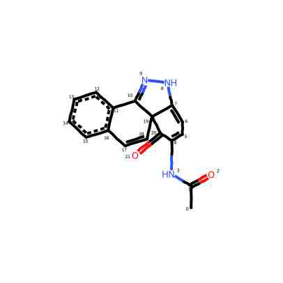 CC(=O)NC1=CC=C2NN=C3c4ccccc4C=CC23C1=O